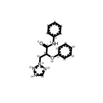 O=C(Nc1ccccc1)C(Cn1ncnn1)Oc1ccccc1